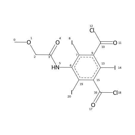 COCC(=O)Nc1c(I)c(C(=O)Cl)c(I)c(C(=O)Cl)c1I